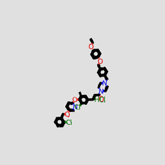 CCOc1ccc(OCc2ccc(CN3CCN(C(=O)C=Cc4cc(C)c(Oc5ccc(OCc6ccccc6Cl)cn5)c(Cl)c4)CC3)cc2)cc1.Cl